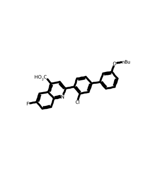 CCCCOc1cccc(-c2ccc(-c3cc(C(=O)O)c4cc(F)ccc4n3)c(Cl)c2)c1